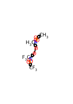 C/C(=N\OS(=O)(=O)c1ccc(C)cc1)c1ccc(OCCCOc2ccc(/C(=N/OS(=O)(=O)c3ccc(C(F)(F)F)cc3)C(F)(F)F)cc2)cc1